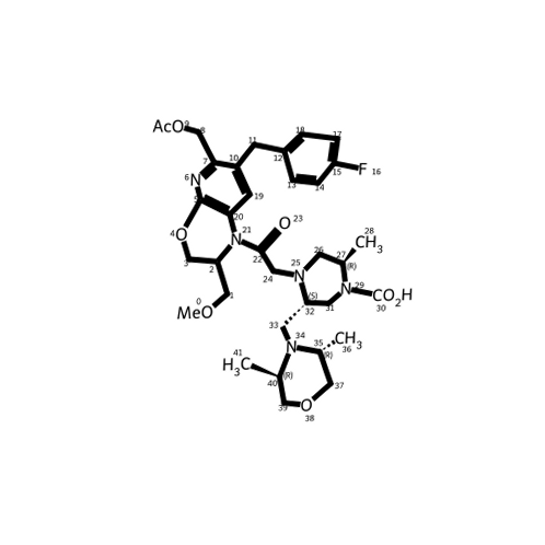 COCC1COc2nc(COC(C)=O)c(Cc3ccc(F)cc3)cc2N1C(=O)CN1C[C@@H](C)N(C(=O)O)C[C@@H]1CN1[C@H](C)COC[C@H]1C